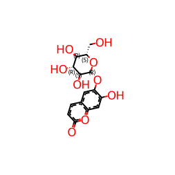 O=c1ccc2cc(O[C@H]3O[C@@H](CO)[C@H](O)[C@@H](O)[C@@H]3O)c(O)cc2o1